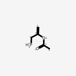 C=C(CP)OC(C)=O